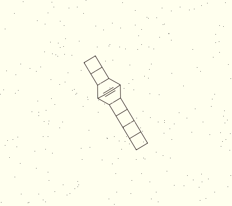 C1#CC2C3C4CCC4C3C1C1C2C2C3C4CCC4C3C12